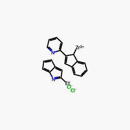 CCC1=NC2=CC=CC2=C1.[Cl-].[Cl-].[Zr+2][CH]1C(c2ccccn2)=Cc2ccccc21